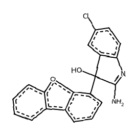 NC1=Nc2ccc(Cl)cc2C1(O)c1cccc2c1oc1ccccc12